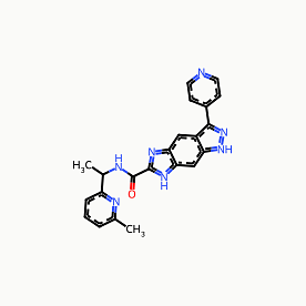 Cc1cccc(C(C)NC(=O)c2nc3cc4c(-c5ccncc5)n[nH]c4cc3[nH]2)n1